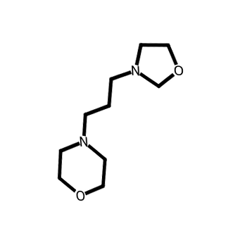 C(CN1CCOCC1)CN1CCOC1